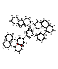 c1ccc(-c2cccc3cccc(-c4cccc(-c5nc(-c6cccc(-c7cccc8ccc9ccccc9c78)c6)nc(-c6cccc7c6oc6ccccc67)n5)c4)c23)cc1